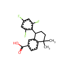 CC1(C)CCC(c2c(F)cc(F)cc2F)c2cc(C(=O)O)ccc21